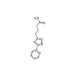 NC(=O)CCCc1nc(-c2ccccn2)no1